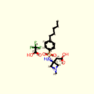 CCCCCc1ccc(S(=O)(=O)NC2(CC(=O)O)CN(C)C2)cc1.O=C(O)C(F)(F)F